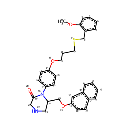 COc1ccccc1CSCCCOc1ccc(N2C(=O)CNCC2COc2ccc3ccccc3c2)cc1